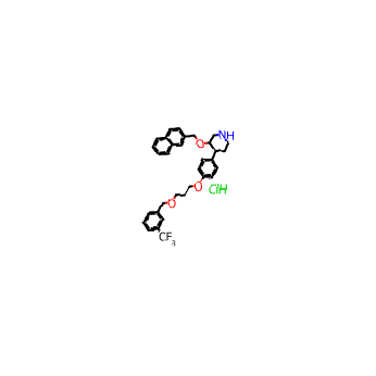 Cl.FC(F)(F)c1cccc(COCCCOc2ccc(C3CCNCC3OCc3ccc4ccccc4c3)cc2)c1